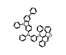 c1ccc(-c2ccc3c(c2)c2ccc(N(c4ccccc4)c4cccc(N(c5ccccc5)c5c6ccccc6cc6oc7ccccc7c56)c4)cc2n3-c2ccccc2)cc1